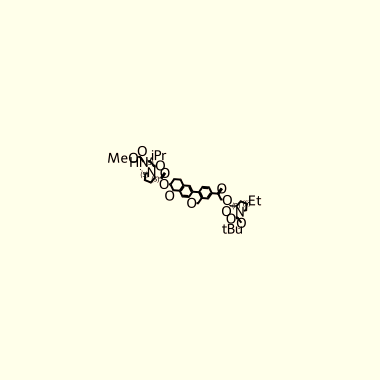 CC[C@H]1C[C@H](C(=O)OCC(=O)c2ccc3c(c2)COc2cc4c(cc2-3)CCC(OC(=O)[C@@H]2CC[C@H](C)N2C(=O)[C@@H](NC(=O)OC)C(C)C)C4=O)N(C(=O)OC(C)(C)C)C1